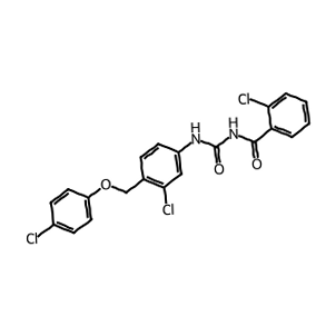 O=C(NC(=O)c1ccccc1Cl)Nc1ccc(COc2ccc(Cl)cc2)c(Cl)c1